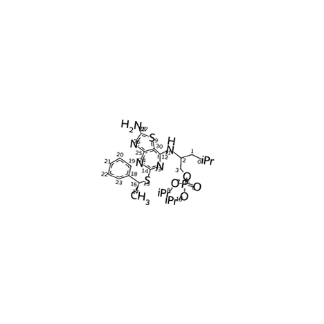 CC(C)CC(COP(=O)(OC(C)C)OC(C)C)Nc1nc(S[C@@H](C)c2ccccc2)nc2nc(N)sc12